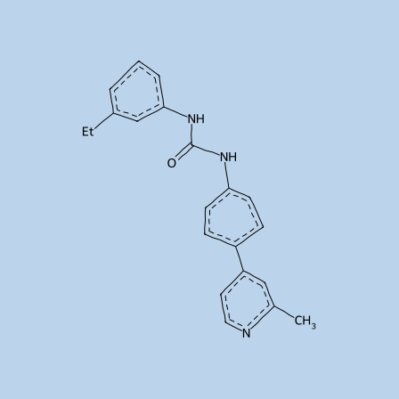 CCc1cccc(NC(=O)Nc2ccc(-c3ccnc(C)c3)cc2)c1